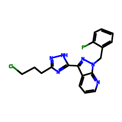 Fc1ccccc1Cn1nc(-c2nc(CCCCl)n[nH]2)c2cccnc21